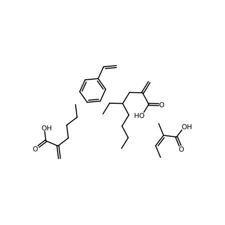 C=C(CC(CC)CCCC)C(=O)O.C=C(CCCC)C(=O)O.C=Cc1ccccc1.CC=C(C)C(=O)O